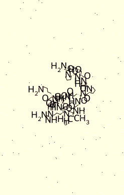 CC(C)[C@H](NC(=O)CNC(=O)[C@H](CCC(N)=O)NC(=O)[C@@H]1CCCN1C(=O)CNC(=O)[C@H](CO)NC(=O)[C@@H]1CCCN1C(=O)CN)C(=O)N[C@@H](CCCNC(=N)N)C(=O)N[C@@H](CC(=O)O)C(=O)N[C@@H](CCCCN)C(=O)O